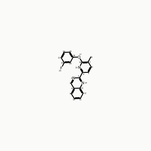 Cc1ccc(-c2ncc3ccccc3n2)nc1Oc1cccc(F)c1